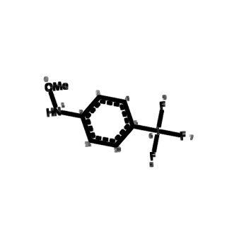 CONc1ccc([I](F)(F)F)cc1